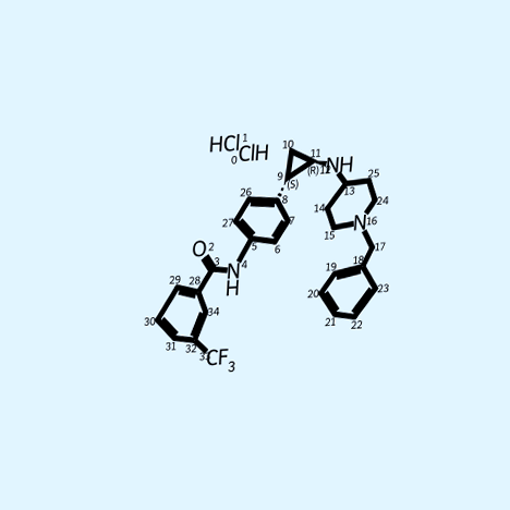 Cl.Cl.O=C(Nc1ccc([C@@H]2C[C@H]2NC2CCN(Cc3ccccc3)CC2)cc1)c1cccc(C(F)(F)F)c1